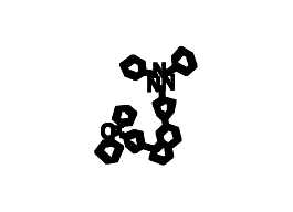 O=P(c1ccccc1)(c1ccccc1)c1ccc(-c2cccc3ccc(-c4ccc(-c5nc(-c6ccccc6)nc(-c6ccccc6)n5)cc4)cc23)cc1